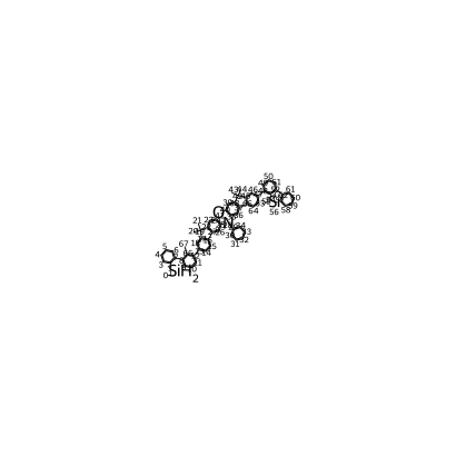 C[SiH2]c1ccccc1-c1cccc(-c2ccc3c(c2)C(C)(C)c2cc4c(cc2-3)N(c2ccccc2)c2cc3c(cc2O4)C(C)(C)c2cc(-c4cccc5c4[Si](C)(C)c4ccccc4-5)ccc2-3)c1C